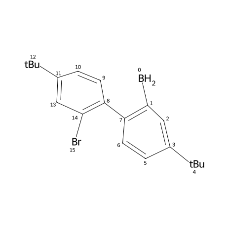 Bc1cc(C(C)(C)C)ccc1-c1ccc(C(C)(C)C)cc1Br